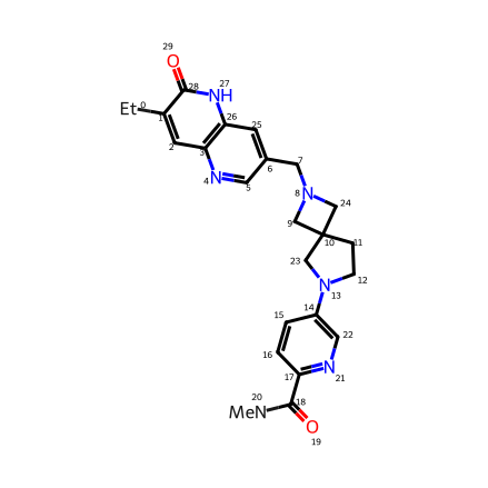 CCc1cc2ncc(CN3CC4(CCN(c5ccc(C(=O)NC)nc5)C4)C3)cc2[nH]c1=O